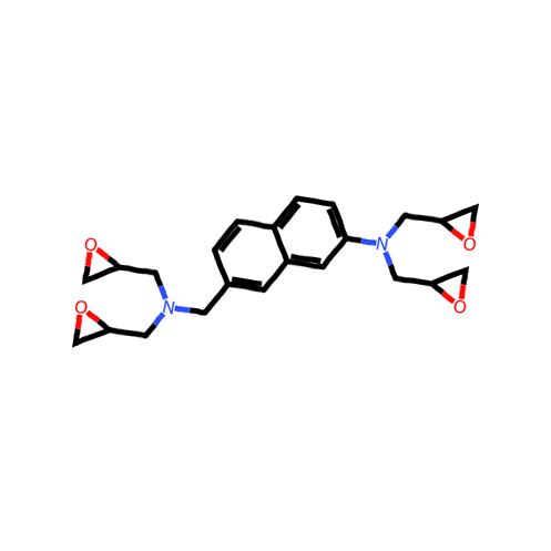 c1cc2ccc(N(CC3CO3)CC3CO3)cc2cc1CN(CC1CO1)CC1CO1